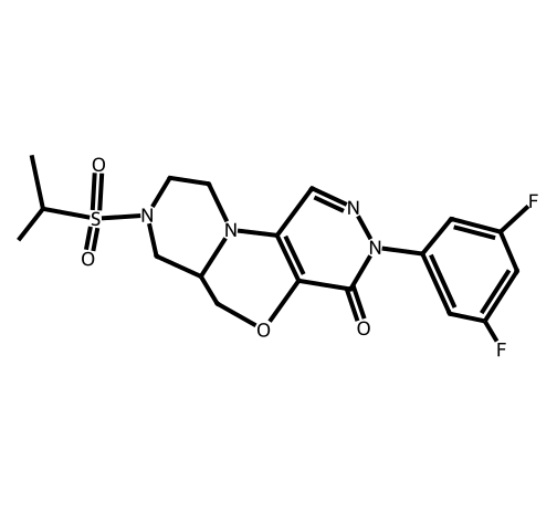 CC(C)S(=O)(=O)N1CCN2c3cnn(-c4cc(F)cc(F)c4)c(=O)c3OCC2C1